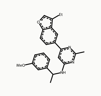 CCc1coc2ccc(-c3cc(NC(C)c4cccc(OC)c4)nc(C)n3)cc12